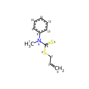 C=CCSC(=S)N(C)c1ccccc1